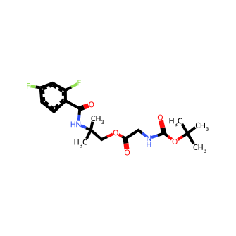 CC(C)(COC(=O)CNC(=O)OC(C)(C)C)NC(=O)c1ccc(F)cc1F